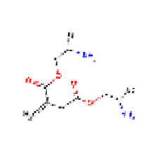 C=C(CC(=O)OCC(N)CC)C(=O)OCC(N)CC